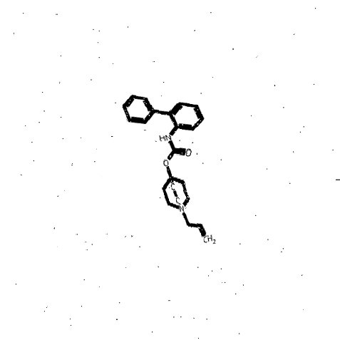 C=CC[N+]12CCC(OC(=O)Nc3ccccc3-c3ccccc3)(CC1)CC2